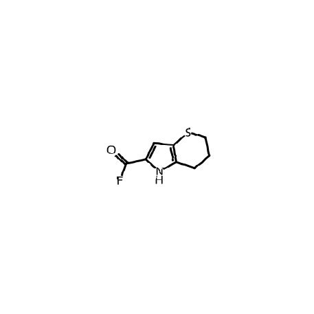 O=C(F)c1cc2c([nH]1)CCCS2